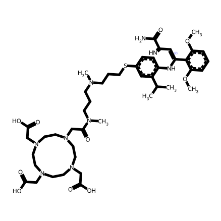 COc1cccc(OC)c1/C(=C/C(=N)C(N)=O)Nc1ccc(SCCCN(C)CCCN(C)C(=O)CN2CCN(CC(=O)O)CCN(CC(=O)O)CCN(CC(=O)O)CC2)cc1C(C)C